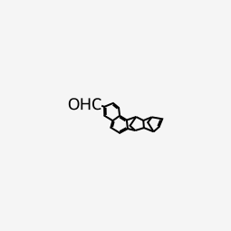 O=Cc1ccc2c3c(ccc2c1)C1CC3C2C3C=CC(C3)C12